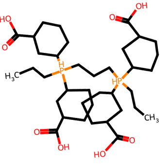 CCC[PH](CCC[PH](CCC)(C1CCCC(C(=O)O)C1)C1CCCC(C(=O)O)C1)(C1CCCC(C(=O)O)C1)C1CCCC(C(=O)O)C1